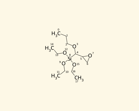 CCCOC(C1CO1)[Si](OCC)(OCC)OCC